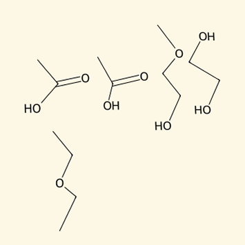 CC(=O)O.CC(=O)O.CCOCC.COCCO.OCCO